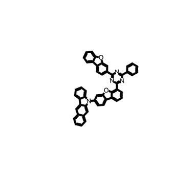 c1ccc(-c2nc(-c3ccc4c(c3)oc3ccccc34)nc(-c3cccc4c3oc3cc(-n5c6ccccc6c6cc7ccccc7cc65)ccc34)n2)cc1